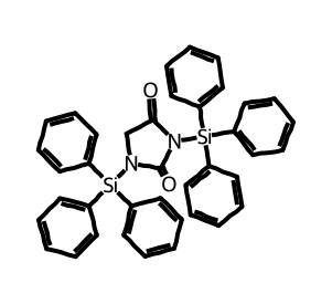 O=C1CN([Si](c2ccccc2)(c2ccccc2)c2ccccc2)C(=O)N1[Si](c1ccccc1)(c1ccccc1)c1ccccc1